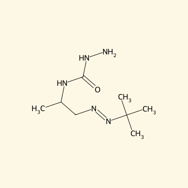 CC(CN=NC(C)(C)C)NC(=O)NN